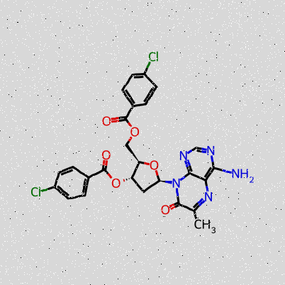 Cc1nc2c(N)ncnc2n([C@H]2C[C@H](OC(=O)c3ccc(Cl)cc3)[C@@H](COC(=O)c3ccc(Cl)cc3)O2)c1=O